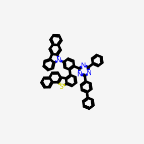 c1ccc(-c2ccc(-c3nc(-c4ccccc4)nc(-c4ccc(-n5c6ccccc6c6cc7ccccc7cc65)cc4-c4cccc5sc6c7ccccc7ccc6c45)n3)cc2)cc1